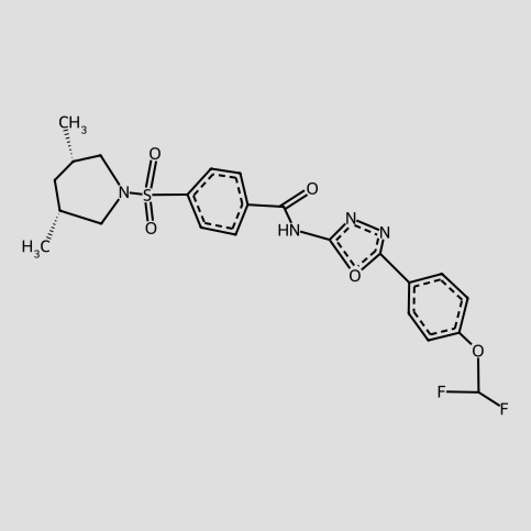 C[C@@H]1C[C@H](C)CN(S(=O)(=O)c2ccc(C(=O)Nc3nnc(-c4ccc(OC(F)F)cc4)o3)cc2)C1